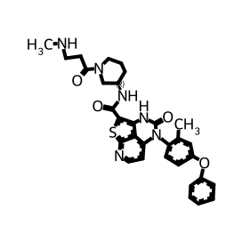 CNCCC(=O)N1CCC[C@@H](NC(=O)c2sc3nccc4c3c2NC(=O)N4c2ccc(Oc3ccccc3)cc2C)C1